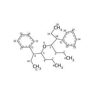 CCCC(OC(CCC)C(CC)c1ccccc1)C(CC)c1ccccc1